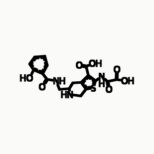 O=C(O)C(=O)Nc1sc2c(c1C(=O)O)CC(CNC(=O)c1ccccc1O)NC2